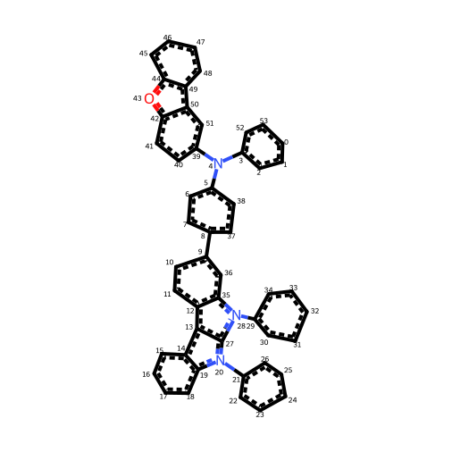 c1ccc(N(c2ccc(-c3ccc4c5c6ccccc6n(-c6ccccc6)c5n(-c5ccccc5)c4c3)cc2)c2ccc3oc4ccccc4c3c2)cc1